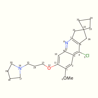 COc1cc2c(Cl)c3c(nc2cc1OCCCN1CCCC1)CC1(CCC1)C3